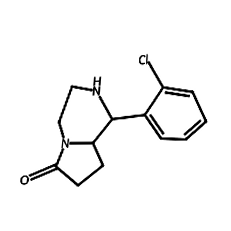 O=C1CCC2C(c3ccccc3Cl)NCCN12